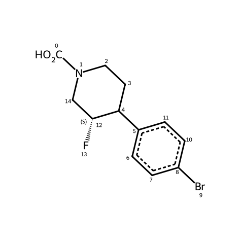 O=C(O)N1CCC(c2ccc(Br)cc2)[C@H](F)C1